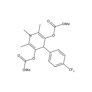 COC(=O)OC1=C(C)N(C)C(C)=C(OC(=O)OC)C1c1ccc(C(F)(F)F)cc1